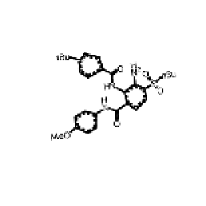 CCCCS(=O)(=O)c1ccc(C(=O)Nc2ccc(OC)cc2)c(NC(=O)c2ccc(C(C)(C)C)cc2)c1N